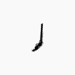 CCCCCCCCCCCCCCCCCCCOC(C)c1ccc(OC(=O)c2ccc(CCCC)cc2)cc1